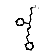 C=CCCCC(C=CCCc1ccccc1)c1ccccc1